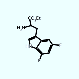 CCOC(=O)C(N)Cc1c[nH]c2c(F)cc(F)cc12